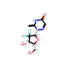 C=C1NC(=O)C=NN1[C@@H]1O[C@H](CO)[C@H](O)C1(F)F